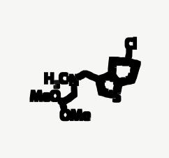 COC(CN(C)Cc1csc2ccc(Cl)cc12)OC